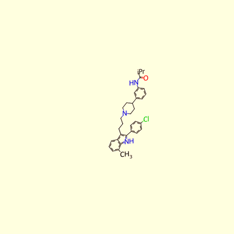 Cc1cccc2c(CCCN3CCC(c4cccc(NC(=O)C(C)C)c4)CC3)c(-c3ccc(Cl)cc3)[nH]c12